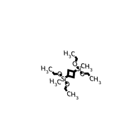 CCO[Si](C)(OCC)C1CC([Si](C)(OCC)OCC)C1